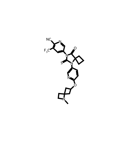 CN1CCC12CC(Oc1ccc(N3C(=S)N(c4cnc(C#N)c(C(F)(F)F)c4)C(=O)C34CCC4)cn1)C2